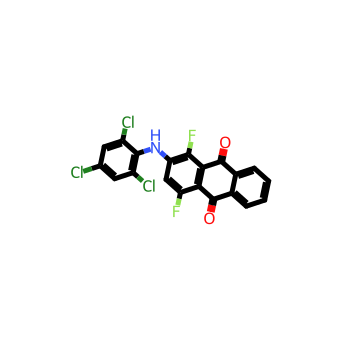 O=C1c2ccccc2C(=O)c2c(F)c(Nc3c(Cl)cc(Cl)cc3Cl)cc(F)c21